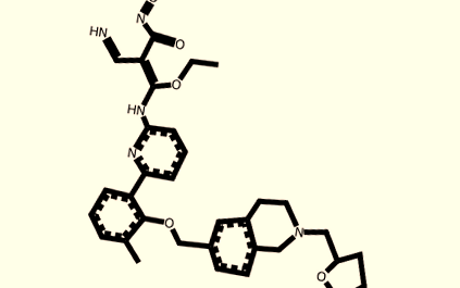 CCO/C(Nc1cccc(-c2cccc(C)c2OCc2ccc3c(c2)CCN(CC2CCCO2)C3)n1)=C(/C=N)C(=O)N=O